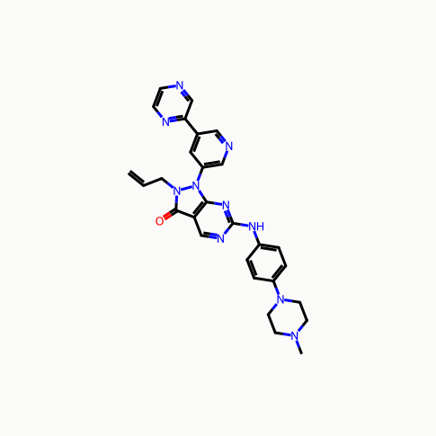 C=CCn1c(=O)c2cnc(Nc3ccc(N4CCN(C)CC4)cc3)nc2n1-c1cncc(-c2cnccn2)c1